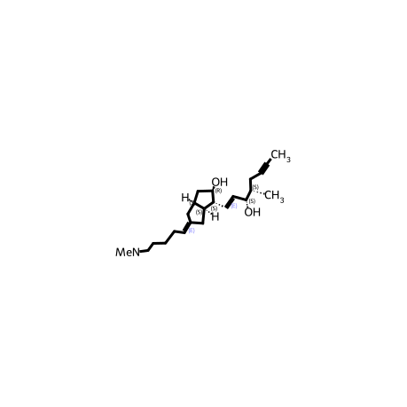 CC#CC[C@H](C)[C@H](O)/C=C/[C@@H]1[C@H]2C/C(=C/CCCCNC)C[C@H]2C[C@H]1O